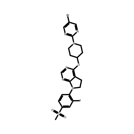 CS(=O)(=O)c1ccc(N2CCc3c(OC4CCN(c5ncc(Br)cn5)CC4)ncnc32)c(F)c1